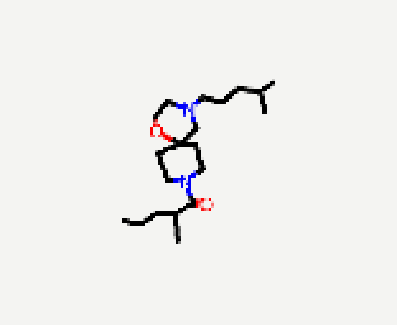 CCCC(C)C(=O)N1CCC2(CC1)CN(CCCC(C)C)CCO2